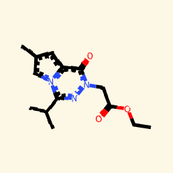 CCOC(=O)Cn1nc(C(C)C)n2cc(C)cc2c1=O